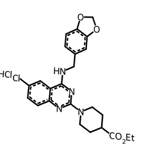 CCOC(=O)C1CCN(c2nc(NCc3ccc4c(c3)OCO4)c3cc(Cl)ccc3n2)CC1.Cl